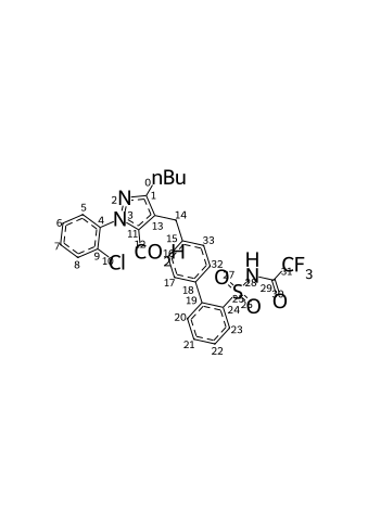 CCCCc1nn(-c2ccccc2Cl)c(C(=O)O)c1Cc1ccc(-c2ccccc2S(=O)(=O)NC(=O)C(F)(F)F)cc1